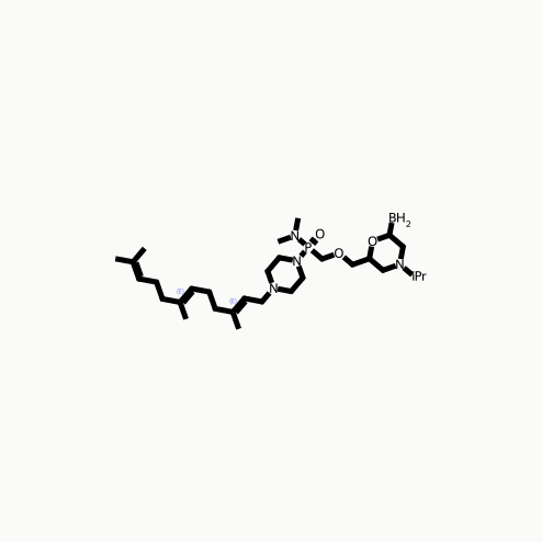 BC1CN(C(C)C)CC(COCP(=O)(N(C)C)N2CCN(C/C=C(\C)CC/C=C(\C)CCC=C(C)C)CC2)O1